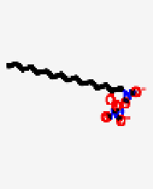 CCCCCCCCCCCCCCC(C[N+](=O)[O-])OO[N+](=O)[O-]